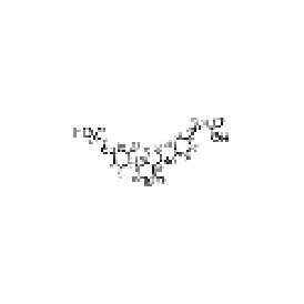 Cc1cc(OCC(C)(C)O)cc(C)c1-c1ccc(F)c2c1CC[C@H]2Oc1ccc([C@H]2C[C@@H]2C(=O)O)cc1